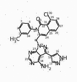 Cc1cccc(-n2c(Cn3nc(-c4cn[nH]c4)c4c(N)ncnc43)cc3cccc(Cl)c3c2=O)c1